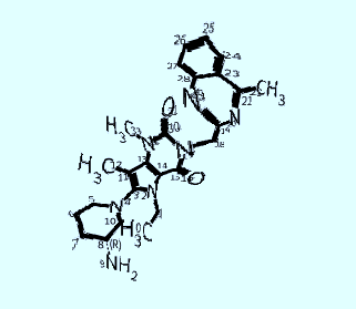 CCn1c(N2CCC[C@@H](N)C2)c(C)c2c1c(=O)n(Cc1nc(C)c3ccccc3n1)c(=O)n2C